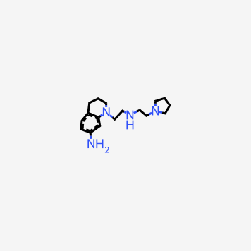 Nc1ccc2c(c1)N(CCNCCN1CCCC1)CCC2